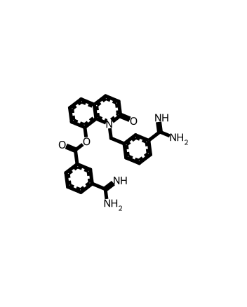 N=C(N)c1cccc(Cn2c(=O)ccc3cccc(OC(=O)c4cccc(C(=N)N)c4)c32)c1